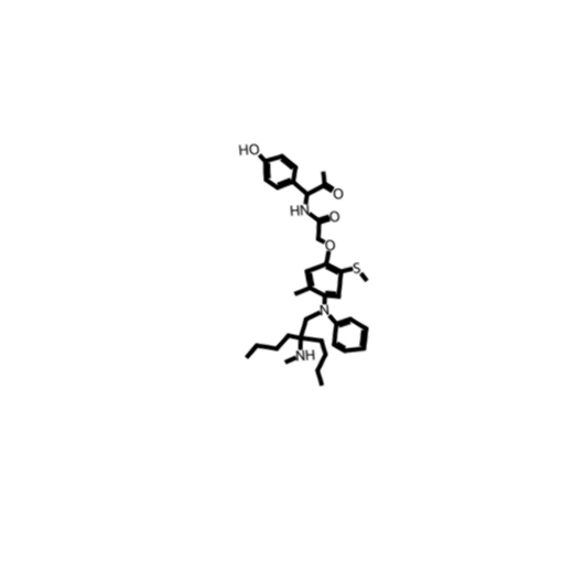 CCCCC(CCCC)(CN(c1ccccc1)c1cc(SC)c(OCC(=O)NC(C(C)=O)c2ccc(O)cc2)cc1C)NC